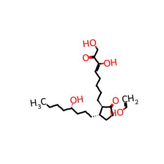 C=CO.CCCC[C@H](O)CCC[C@H]1CCC(=O)[C@@H]1CCCCC=C(O)C(=O)CO